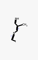 C/C(C=N)=C/N=C\I